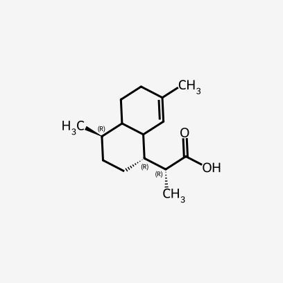 CC1=CC2C(CC1)[C@H](C)CC[C@H]2[C@@H](C)C(=O)O